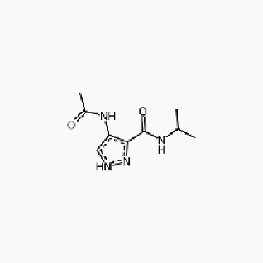 CC(=O)Nc1c[nH]nc1C(=O)NC(C)C